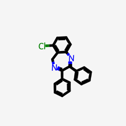 Clc1cccc2c1CN=C(c1ccccc1)C(c1ccccc1)=N2